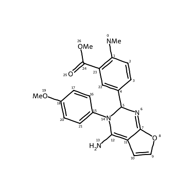 CNc1ccc(C2N=c3occc3=C(N)N2c2ccc(OC)cc2)cc1C(=O)OC